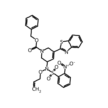 C=CCON(C1C=C(c2nc3ccccc3s2)CN(C(=O)OCc2ccccc2)C1)S(=O)(=O)c1ccccc1[N+](=O)[O-]